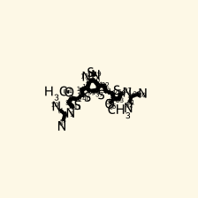 COc1cc(N=C(C#N)C#N)sc1-c1cc2c3nsnc3c3cc(-c4sc(N=C(C#N)C#N)cc4OC)sc3c2s1